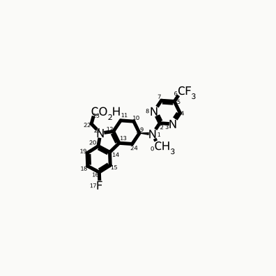 CN(c1ncc(C(F)(F)F)cn1)[C@@H]1CCc2c(c3cc(F)ccc3n2CC(=O)O)C1